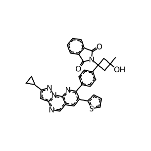 CC1(O)CC(c2ccc(-c3nc4c(cnc5cc(C6CC6)nn54)cc3-c3cccs3)cc2)(N2C(=O)c3ccccc3C2=O)C1